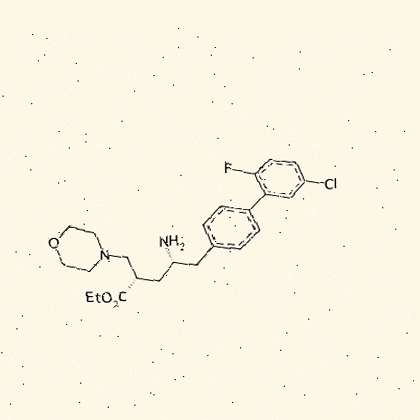 CCOC(=O)[C@@H](C[C@H](N)Cc1ccc(-c2cc(Cl)ccc2F)cc1)CN1CCOCC1